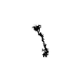 COc1cc(Nc2c(C#N)cnc3cc(OCCCN4CCN(C(=O)CCCCCOCCOCCOCCCCCC(=O)Nc5cccc6c5C(=O)N(C5CCC(=O)NC5=O)C6=O)CC4)c(OC)cc23)c(Cl)cc1Cl